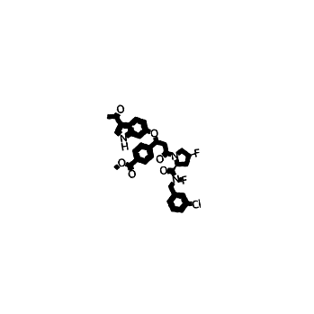 COC(=O)c1ccc(C(CC(=O)N2C[C@H](F)C[C@H]2C(=O)N(F)Cc2cccc(Cl)c2)Oc2ccc3c(C(C)=O)c[nH]c3c2)cc1